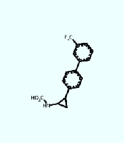 O=C(O)NC1CC1c1ccc(-c2cccc(C(F)(F)F)c2)cc1